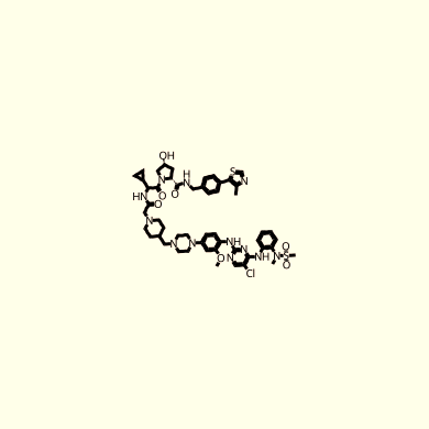 COc1cc(N2CCN(CC3CCN(CC(=O)NC(C(=O)N4C[C@H](O)C[C@@H]4C(=O)NCc4ccc(-c5scnc5C)cc4)C4CC4)CC3)CC2)ccc1Nc1ncc(Cl)c(Nc2ccccc2N(C)S(C)(=O)=O)n1